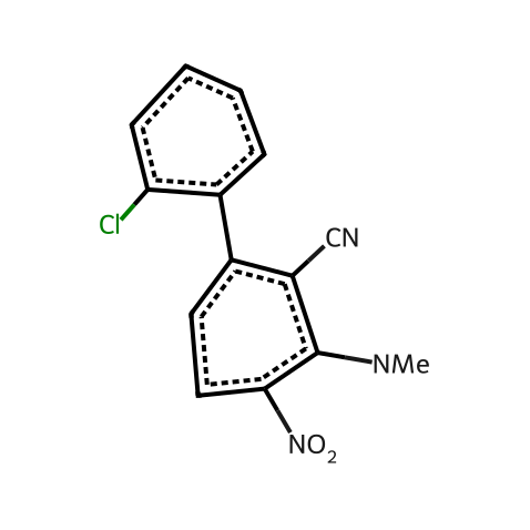 CNc1c([N+](=O)[O-])ccc(-c2ccccc2Cl)c1C#N